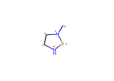 CN1CCNS1